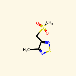 Cc1nsnc1CS(C)(=O)=O